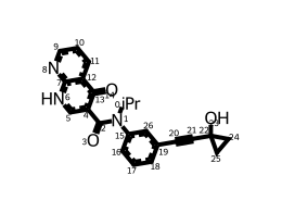 CC(C)N(C(=O)c1c[nH]c2ncccc2c1=O)c1cccc(C#CC2(O)CC2)c1